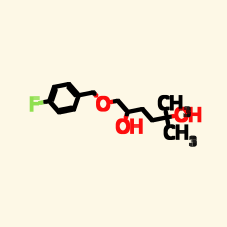 CC(C)(O)CCC(O)COCc1ccc(F)cc1